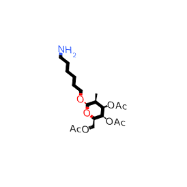 CC(=O)OC[C@H]1O[C@H](OCCCCCCN)[C@@H](C)[C@@H](OC(C)=O)[C@@H]1OC(C)=O